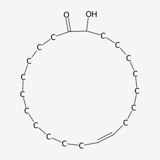 O=C1CCCCCCCCCCC=CCCCCCCCC1O